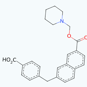 O=C(O)c1ccc(Cc2ccc3ccc(C(=O)OCN4CCCCC4)cc3c2)cc1